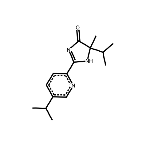 CC(C)c1ccc(C2=NC(=O)C(C)(C(C)C)N2)nc1